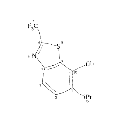 CC(C)c1ccc2nc(C(F)(F)F)sc2c1Cl